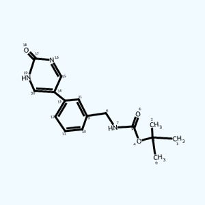 CC(C)(C)OC(=O)NCc1cccc(-c2cnc(=O)[nH]c2)c1